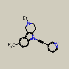 CCN1CCc2c(c3cc(C(F)(F)F)ccc3n2C#Cc2cccnc2)C1